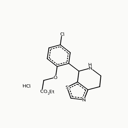 CCOC(=O)COc1ccc(Cl)cc1C1NCCc2ncsc21.Cl